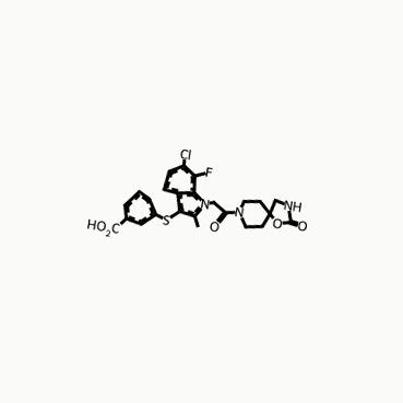 Cc1c(Sc2cccc(C(=O)O)c2)c2ccc(Cl)c(F)c2n1CC(=O)N1CCC2(CC1)CNC(=O)O2